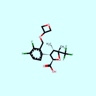 C[C@H]1[C@@H](c2ccc(F)c(F)c2COC2COC2)[C@H](C(=O)O)O[C@@]1(C)C(F)(F)F